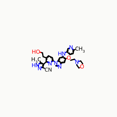 Cc1ccc(Nc2cc3c(cc2OCCN2CCOCC2)ncn3-c2ccc(CCO)c(-c3c(C#N)n[nH]c3C)n2)cn1